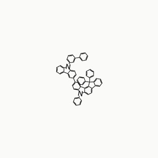 c1ccc(-c2cccc(-n3c4ccccc4c4cc(-c5ccc6c(c5)c5c7c(ccc5n6-c5ccccc5)-c5ccccc5C7(c5ccccc5)c5ccccc5)ccc43)c2)cc1